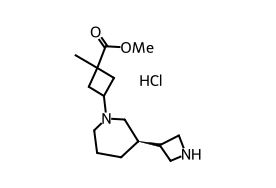 COC(=O)C1(C)CC(N2CCC[C@H](C3CNC3)C2)C1.Cl